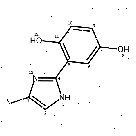 Cc1c[nH]c(-c2cc(O)ccc2O)n1